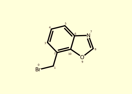 BrCc1cccc2ncoc12